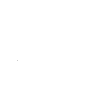 Cn1ccc2cc(C(=O)C3CC4(C)CC3CC(C)(C)C4)ccc21